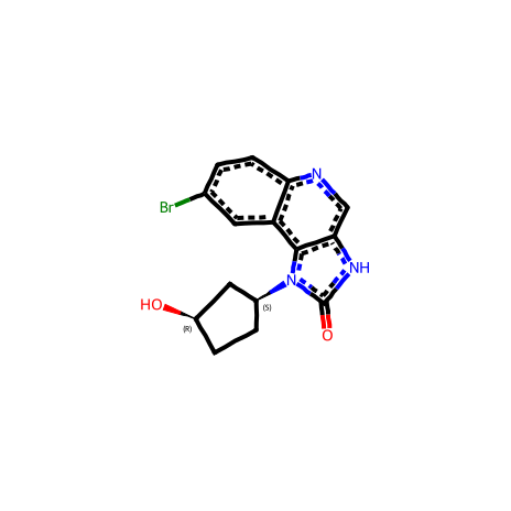 O=c1[nH]c2cnc3ccc(Br)cc3c2n1[C@H]1CC[C@@H](O)C1